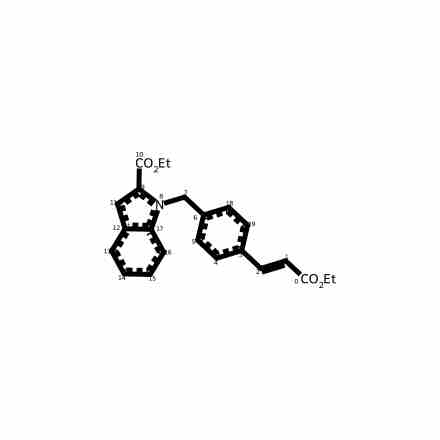 CCOC(=O)/C=C/c1ccc(Cn2c(C(=O)OCC)cc3ccccc32)cc1